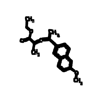 CCOC(=O)C(C)=C=C(C)c1ccc2cc(OC)ccc2c1